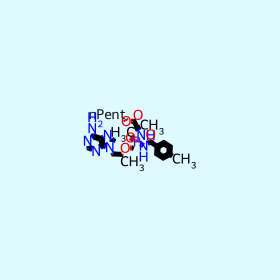 CCCCCOC(=O)C(C)(C)N[P@](=O)(CO[C@H](C)Cn1cnc2c(N)ncnc21)NC(=O)c1ccc(C)cc1